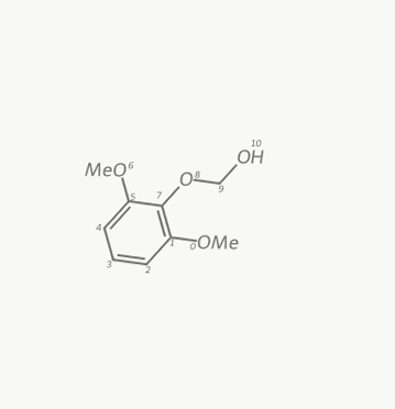 COc1cccc(OC)c1OCO